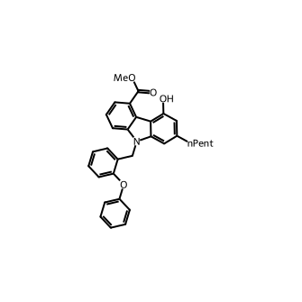 CCCCCc1cc(O)c2c3c(C(=O)OC)cccc3n(Cc3ccccc3Oc3ccccc3)c2c1